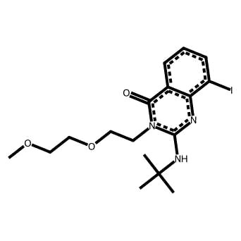 COCCOCCn1c(NC(C)(C)C)nc2c(I)cccc2c1=O